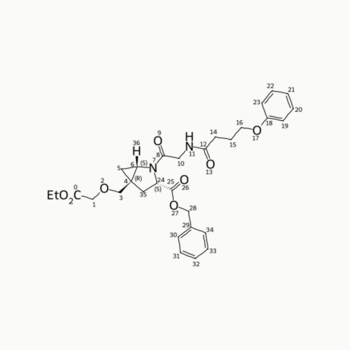 CCOC(=O)COC[C@@]12C[C@@H]1N(C(=O)CNC(=O)CCCOc1ccccc1)[C@H](C(=O)OCc1ccccc1)C2